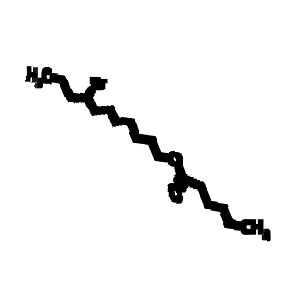 CCCCCC(=O)OCCCCCCCC(Br)CCC